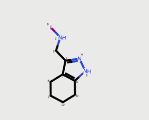 INCc1n[nH]c2c1CCCC2